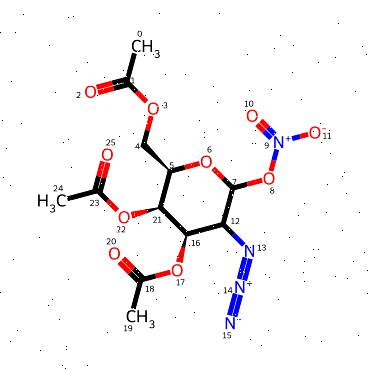 CC(=O)OC[C@H]1OC(O[N+](=O)[O-])C(N=[N+]=[N-])[C@@H](OC(C)=O)[C@H]1OC(C)=O